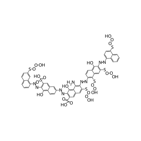 Nc1c(N=Nc2ccc3c(O)c(N=Nc4ccc(SOOO)c5ccccc45)c(SOOO)cc3c2SOOO)c(SOOO)cc2cc(S(=O)(=O)O)c(N=Nc3ccc4c(O)c(N=Nc5cccc6ccc(SOOO)cc56)c(S(=O)(=O)O)cc4c3)c(O)c12